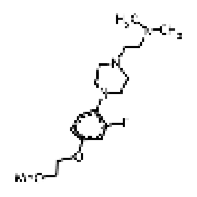 COCCOc1ccc(N2CCN(CCN(C)C)CC2)c(F)c1